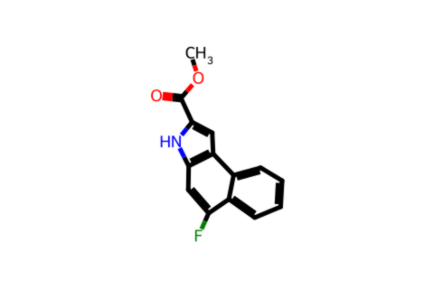 COC(=O)c1cc2c(cc(F)c3ccccc32)[nH]1